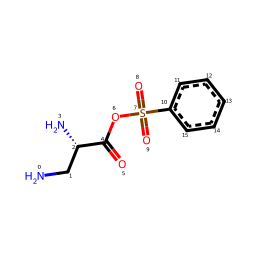 NC[C@H](N)C(=O)OS(=O)(=O)c1ccccc1